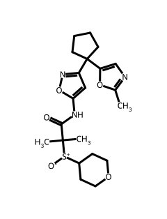 Cc1ncc(C2(c3cc(NC(=O)C(C)(C)[S+]([O-])C4CCOCC4)on3)CCCC2)o1